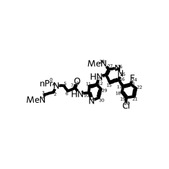 CCCN(CCNC)CCC(=O)Nc1cc(Nc2cc(-c3cc(Cl)ccc3F)nnc2NC)ccn1